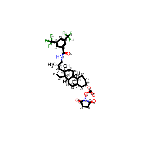 C[C@H](CNC(=O)c1cc(C(F)(F)F)cc(C(F)(F)F)c1)[C@H]1CC[C@H]2[C@@H]3CC=C4C[C@@H](OC(=O)ON5C(=O)CCC5=O)CC[C@]4(C)[C@H]3CC[C@]12C